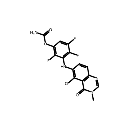 Cn1cnc2ccc(Nc3c(F)c(F)cc(OC(N)=O)c3F)c(Cl)c2c1=O